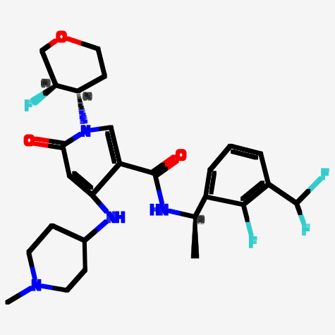 C[C@@H](NC(=O)c1cn([C@H]2CCOC[C@@H]2F)c(=O)cc1NC1CCN(C)CC1)c1cccc(C(F)F)c1F